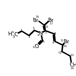 CCCCN(C=O)C(/C=C/C(Br)CCC)=C(Br)Br